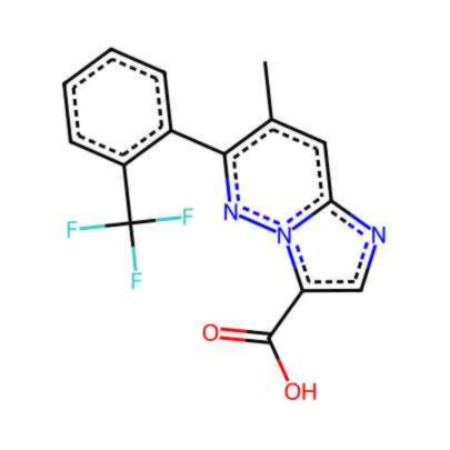 Cc1cc2ncc(C(=O)O)n2nc1-c1ccccc1C(F)(F)F